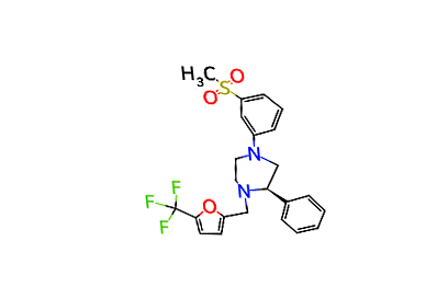 CS(=O)(=O)c1cccc(N2CCN(Cc3ccc(C(F)(F)F)o3)[C@H](c3ccccc3)C2)c1